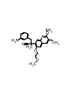 CCc1cc2cc(OCCOC)c(C(C)(C#N)Cc3cccc(N)c3)cc2nc1OC